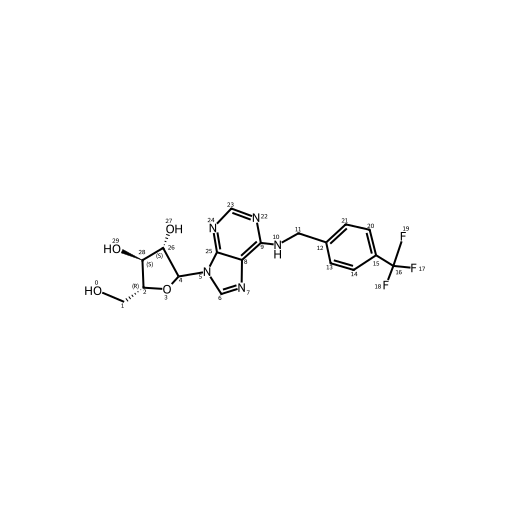 OC[C@H]1OC(n2cnc3c(NCc4ccc(C(F)(F)F)cc4)ncnc32)[C@@H](O)[C@@H]1O